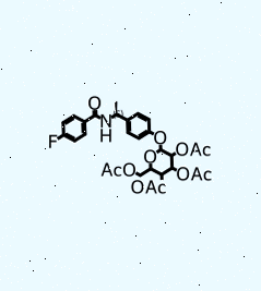 CC(=O)OCC1OC(Oc2ccc([C@H](C)NC(=O)c3ccc(F)cc3)cc2)C(OC(C)=O)C(OC(C)=O)C1OC(C)=O